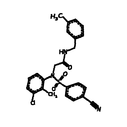 Cc1cccc(CNC(=O)CN(c2cccc(Cl)c2C)S(=O)(=O)c2ccc(C#N)cc2)c1